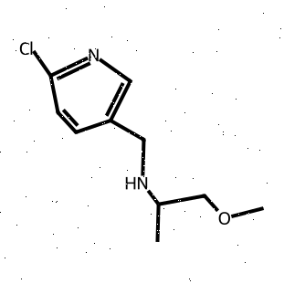 COCC(C)NCc1ccc(Cl)nc1